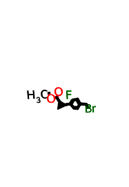 CCOC(=O)C1CC1c1ccc(CBr)cc1F